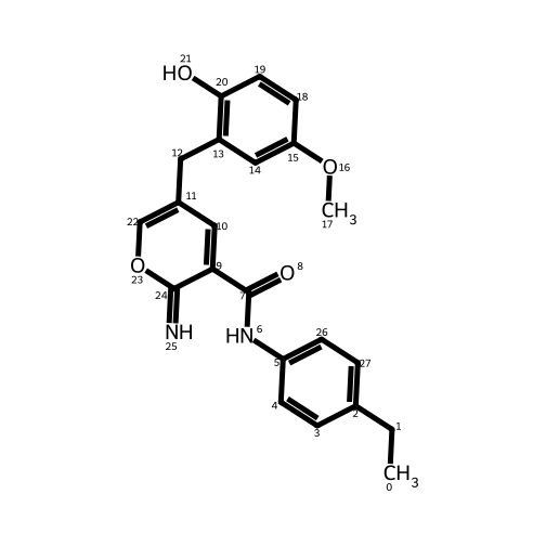 CCc1ccc(NC(=O)c2cc(Cc3cc(OC)ccc3O)coc2=N)cc1